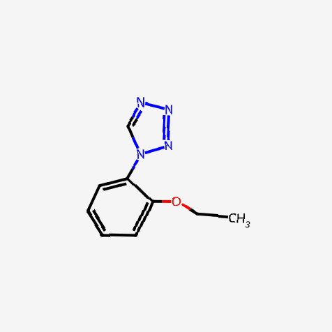 CCOc1ccccc1-n1cnnn1